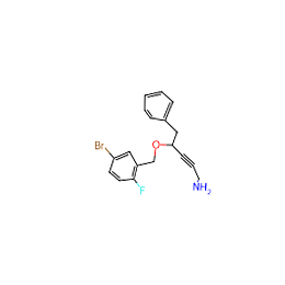 NCC#CC(Cc1ccccc1)OCc1cc(Br)ccc1F